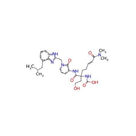 CC(C)Cc1cccc2[nH]c(Cn3cccc(NC(=O)C(CCO)(CC/C=C/C(=O)N(C)C)NC(=O)O)c3=O)nc12